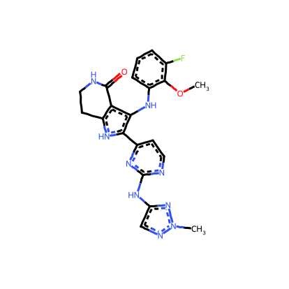 COc1c(F)cccc1Nc1c(-c2ccnc(Nc3cnn(C)n3)n2)[nH]c2c1C(=O)NCC2